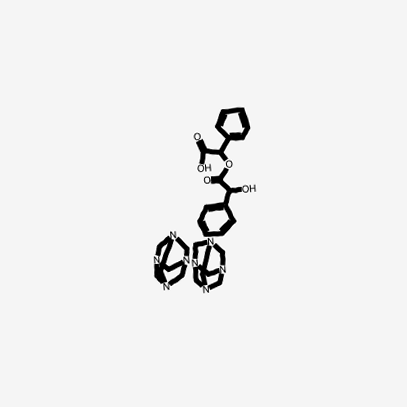 C1N2CN3CN1CN(C2)C3.C1N2CN3CN1CN(C2)C3.O=C(OC(C(=O)O)c1ccccc1)C(O)c1ccccc1